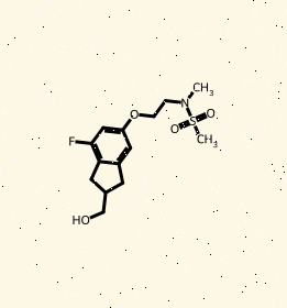 CN(CCOc1cc(F)c2c(c1)CC(CO)C2)S(C)(=O)=O